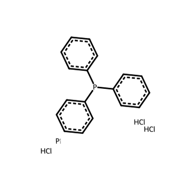 Cl.Cl.Cl.[P].c1ccc(P(c2ccccc2)c2ccccc2)cc1